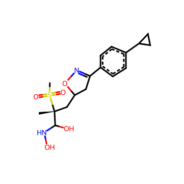 C[C@@](CC1CC(c2ccc(C3CC3)cc2)=NO1)(C(O)NO)S(C)(=O)=O